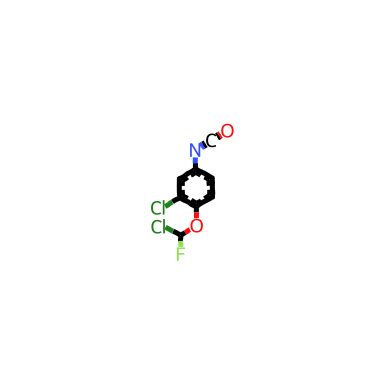 O=C=Nc1ccc(OC(F)Cl)c(Cl)c1